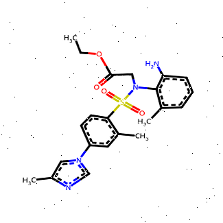 CCOC(=O)CN(c1c(C)cccc1N)S(=O)(=O)c1ccc(-n2cnc(C)c2)cc1C